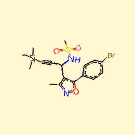 Cc1noc(-c2ccc(Br)cc2)c1C(C#C[Si](C)(C)C)NS(C)(=O)=O